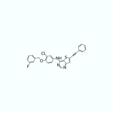 Fc1cccc(COc2ccc(Nc3ncnc4cc(C#Cc5ccccc5)sc34)cc2Cl)c1